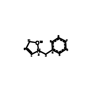 C1=CN(Cc2ccccc2)OC1